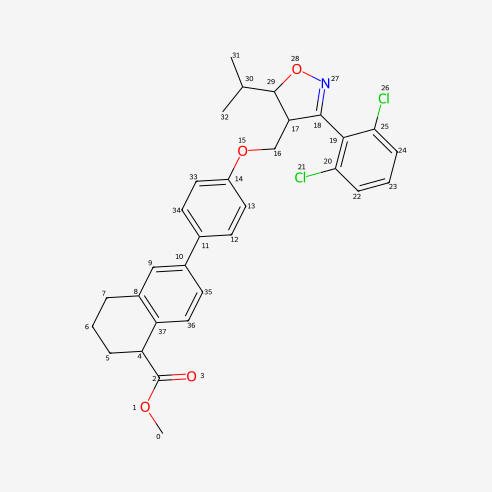 COC(=O)C1CCCc2cc(-c3ccc(OCC4C(c5c(Cl)cccc5Cl)=NOC4C(C)C)cc3)ccc21